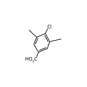 Cc1cc(C(=O)O)cc(C)c1Cl